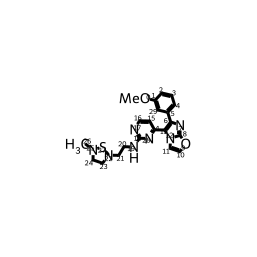 COc1cccc(-c2nc3occn3c2-c2ccnc(NCCN3CCN(C)S3)n2)c1